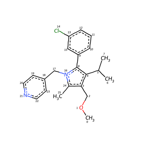 COCc1c(C(C)C)c(-c2cccc(Cl)c2)n(Cc2ccncc2)c1C